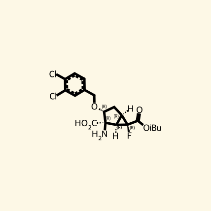 CC(C)COC(=O)[C@@]1(F)[C@@H]2C[C@@H](OCc3ccc(Cl)c(Cl)c3)[C@@](N)(C(=O)O)[C@@H]21